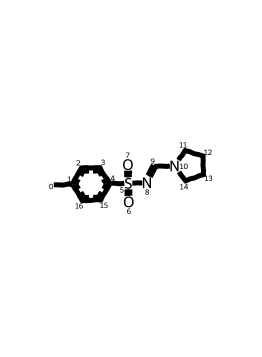 Cc1ccc(S(=O)(=O)N=CN2CCCC2)cc1